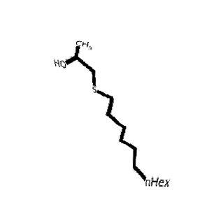 CCCCCCCCCCCCSCC(C)O